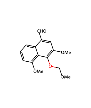 COCOc1c(OC)cc(C=O)c2cccc(OC)c12